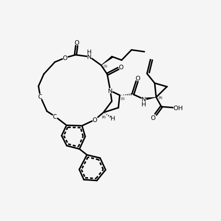 C=CC1C[C@]1(NC(=O)[C@@H]1C[C@@H]2CN1C(=O)[C@H](CCCC)NC(=O)OCCCCCCc1ccc(-c3ccccc3)cc1O2)C(=O)O